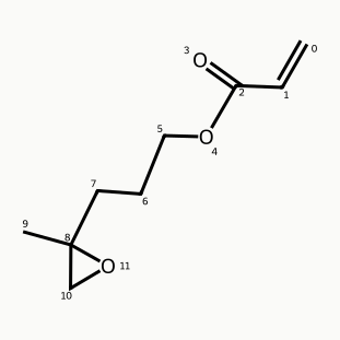 C=CC(=O)OCCCC1(C)CO1